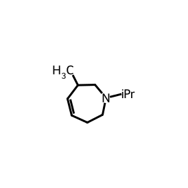 CC1C=CCCN(C(C)C)C1